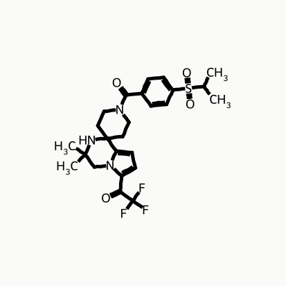 CC(C)S(=O)(=O)c1ccc(C(=O)N2CCC3(CC2)NC(C)(C)Cn2c(C(=O)C(F)(F)F)ccc23)cc1